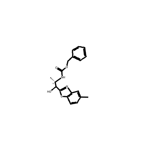 Cc1ccc2oc(C(O)[C@H](C)NC(=O)OCc3ccccc3)nc2c1